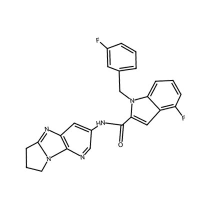 O=C(Nc1cnc2c(c1)nc1n2CCC1)c1cc2c(F)cccc2n1Cc1cccc(F)c1